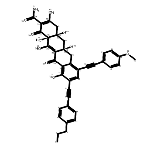 CCCc1ccc(C#Cc2cc(C#Cc3ccc(OC)cc3)c3c(c2O)C(=O)C2=C(O)[C@]4(O)C(=O)C(C(N)=O)=C(O)C[C@@H]4C[C@@H]2C3)cc1